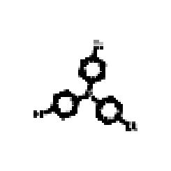 CCc1ccc(P(c2ccc(CC)cc2)c2ccc(CC)cc2)cc1